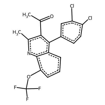 CC(=O)c1c(C)nc2c(OC(F)(F)F)cccc2c1-c1ccc(Cl)c(Cl)c1